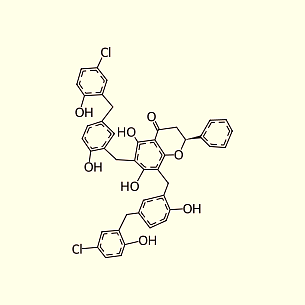 O=C1C[C@@H](c2ccccc2)Oc2c(Cc3cc(Cc4cc(Cl)ccc4O)ccc3O)c(O)c(Cc3cc(Cc4cc(Cl)ccc4O)ccc3O)c(O)c21